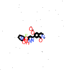 COCOc1cc2ccn(C)c(=O)c2cc1-c1ccc(OC2CC3CCC(C2F)N3C(=O)O)nn1